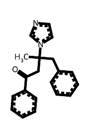 CC(CC(=O)c1ccccc1)(Cc1ccccc1)n1ccnc1